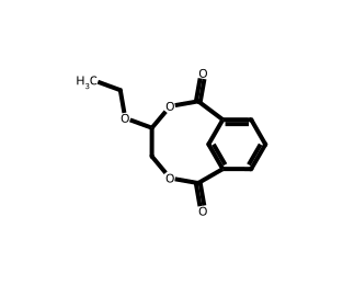 CCOC1COC(=O)c2cccc(c2)C(=O)O1